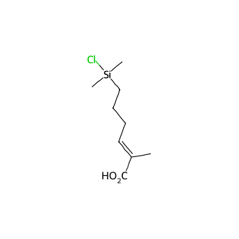 CC(=CCCC[Si](C)(C)Cl)C(=O)O